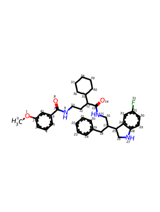 COc1cccc(C(=O)NCCC(C(=O)NCC(Cc2ccccc2)C2CNc3ccc(F)cc32)C2CCCCC2)c1